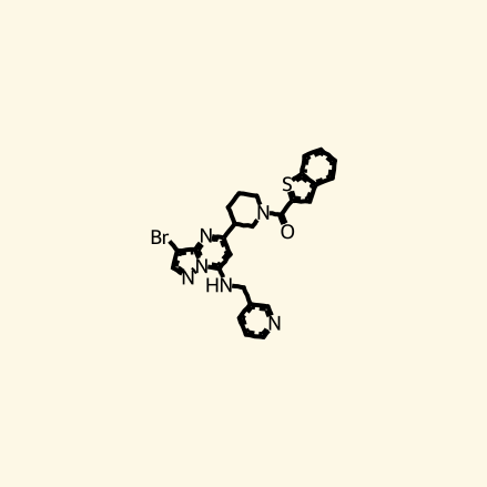 O=C(c1cc2ccccc2s1)N1CCCC(c2cc(NCc3cccnc3)n3ncc(Br)c3n2)C1